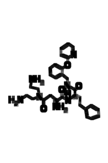 NCCN(CCN)C(=O)C[C@H](N)C(=O)N[C@@H](CCc1ccccc1)C(=O)NCc1ccccc1Oc1ccccn1